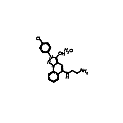 NCCNC1=CC2=C(O)N(c3ccc(Cl)cc3)[N]N2c2ccccc21.O